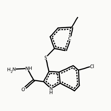 Cc1ccc(Sc2c(C(=O)NN)[nH]c3ccc(Cl)cc23)cc1